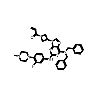 C=CC(=O)N1CC(n2cnc3c(N(Cc4ccccc4)Cc4ccccc4)nc(Nc4ccc(N5CCN(C)CC5)c(F)c4)nc32)C1